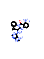 Nc1cccc2nc(C(Nc3ncnc4nc[nH]c34)C3CC3)n(-c3ccccc3)c(=O)c12